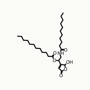 CCCCCCCCCCCC(=O)OC(CNC(=O)CCCCCCCCCC)C1=CC(=O)OC1O